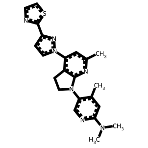 Cc1cc(-n2ccc(-c3nccs3)n2)c2c(n1)N(c1cnc(N(C)C)cc1C)CC2